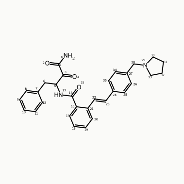 NC(=O)C(=O)C(Cc1ccccc1)NC(=O)c1ccccc1C=Cc1ccc(CN2CCCC2)cc1